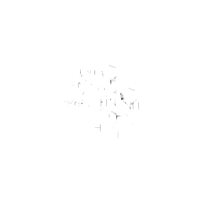 CCC(=O)[C@]1(COC(C)(C)C)O[C@](n2cc(C)c(=O)[nH]c2=O)([SiH](c2ccccc2)c2ccccc2)C([SiH](C)C)[C@@H]1OC(C)(C)C